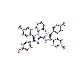 Clc1ccccc1-n1c(-c2nc(-c3ccc(Br)cc3)c(-c3ccc(Br)cc3)[nH]2)nc(-c2ccc(Br)cc2)c1-c1ccc(Br)cc1